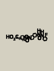 C[C@H]1C[C@H](CC(=O)O)CC[C@H]1OC(=O)N1CCc2cc(NC(=O)Nc3ccccc3F)ccc2C1